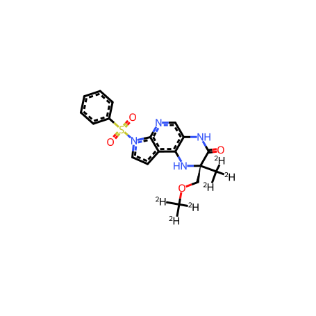 [2H]C([2H])([2H])OC[C@@]1(C([2H])([2H])[2H])Nc2c(cnc3c2ccn3S(=O)(=O)c2ccccc2)NC1=O